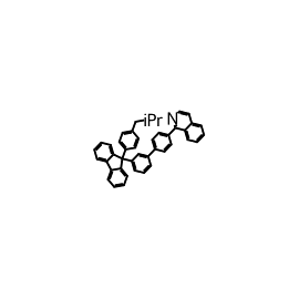 CC(C)Cc1ccc(C2(c3cccc(-c4ccc(-c5nccc6ccccc56)cc4)c3)c3ccccc3-c3ccccc32)cc1